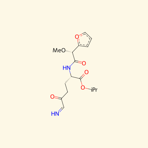 CO[C@@H](C(=O)N[C@@H](CCC(=O)C=N)C(=O)OC(C)C)c1ccco1